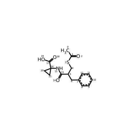 CC(=O)SCC(Cc1ccccc1)C(=O)NC1(C(=O)O)CC1